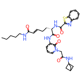 CCCCCNC(=O)/C=C/CC[C@H](NC(=O)c1nc2ccccc2s1)C(=O)Nc1cccn(CC(=O)NC23CC(C2)C3)c1=O